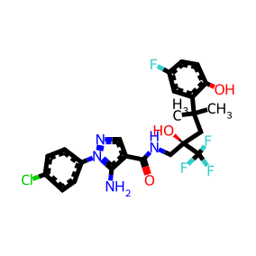 CC(C)(C[C@@](O)(CNC(=O)c1cnn(-c2ccc(Cl)cc2)c1N)C(F)(F)F)c1cc(F)ccc1O